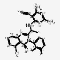 Cc1cccc(-n2c(C(C)Nc3nc(N)nc(N)c3C#N)nc3cccc(Cl)c3c2=O)c1C